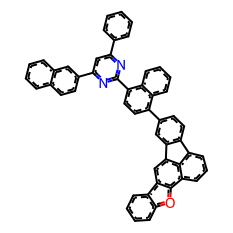 c1ccc(-c2cc(-c3ccc4ccccc4c3)nc(-c3ccc(-c4ccc5c(c4)-c4cc6c7ccccc7oc6c6cccc-5c46)c4ccccc34)n2)cc1